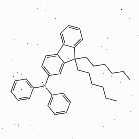 CCCCCCC1(CCCCCC)c2ccccc2-c2ccc(N(c3ccccc3)c3ccccc3)cc21